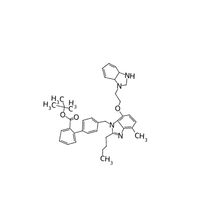 CCCCc1nc2c(C)ccc(OCCN3CNC4C=CC=CC43)c2n1Cc1ccc(-c2ccccc2C(=O)OC(C)(C)C)cc1